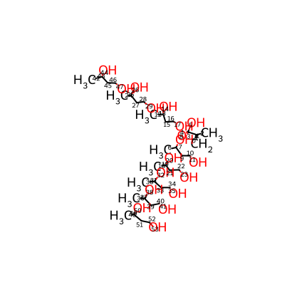 C=C(C)C(=O)O.CC(O)CCO.CC(O)CCO.CC(O)CCO.CC(O)CCO.CC(O)CCO.CC(O)CCO.CC(O)CCO.CC(O)CCO